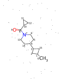 CC1CC(C2CCN(C(=O)C3CC3)CC2)C1